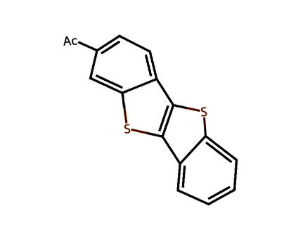 CC(=O)c1ccc2c(c1)sc1c3ccccc3sc21